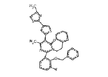 Cc1csc(-c2csc(-c3c(C)nc(-c4cccc(F)c4OCc4ccccc4)n(CCc4ccccc4)c3=O)c2)n1